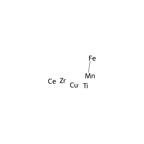 [Ce].[Cu].[Mn][Fe].[Ti].[Zr]